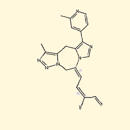 C=C/C(F)=C\C=C1/Cn2nnc(C)c2Cc2c(-c3ccnc(C)c3)ncn21